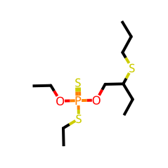 CCCSC(CC)COP(=S)(OCC)SCC